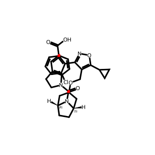 O=C(O)c1ccc2c(c1)CCN2C(=O)N1[C@@H]2CC[C@H]1CC(OCc1c(-c3ccccc3Cl)noc1C1CC1)C2